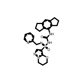 O=C(Nc1c2c(cc3c1CCC3)CCC2)NS(=O)(=NCc1ccccn1)c1cnn2c1OCCC2